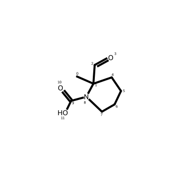 CC1(C=O)CCCCN1C(=O)O